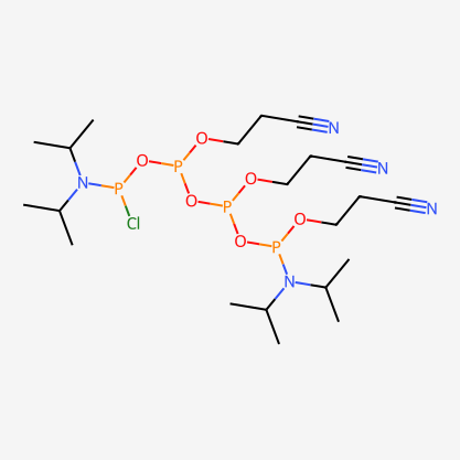 CC(C)N(C(C)C)P(Cl)OP(OCCC#N)OP(OCCC#N)OP(OCCC#N)N(C(C)C)C(C)C